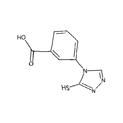 O=C(O)c1cccc(-n2cnnc2S)c1